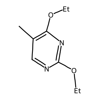 CCOc1ncc(C)c(OCC)n1